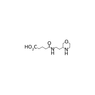 O=C(O)CCCC(=O)NCCC1COCCN1